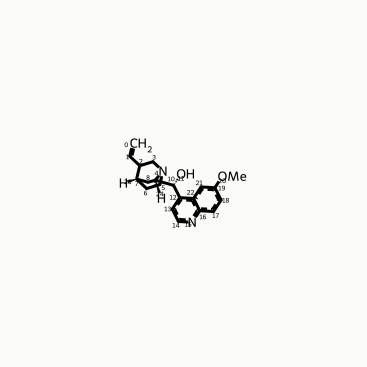 C=CC1CN2CC[C@H]1C[C@H]2[C@H](O)c1ccnc2ccc(OC)cc12